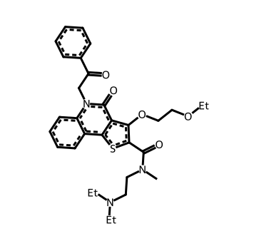 CCOCCOc1c(C(=O)N(C)CCN(CC)CC)sc2c1c(=O)n(CC(=O)c1ccccc1)c1ccccc21